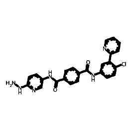 NNc1ccc(NC(=O)c2ccc(C(=O)Nc3ccc(Cl)c(-c4ccccn4)c3)cc2)cn1